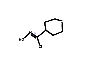 O/N=C(\Cl)C1CCOCC1